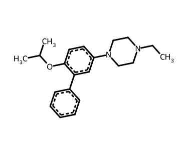 CCN1CCN(c2ccc(OC(C)C)c(-c3ccccc3)c2)CC1